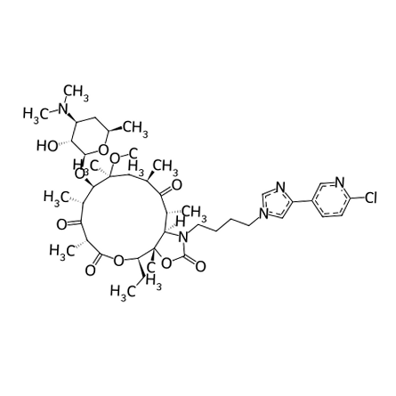 CC[C@H]1OC(=O)[C@H](C)C(=O)[C@H](C)[C@@H](O[C@@H]2O[C@H](C)C[C@H](N(C)C)[C@H]2O)[C@@](C)(OC)C[C@@H](C)C(=O)[C@H](C)[C@H]2N(CCCCn3cnc(-c4ccc(Cl)nc4)c3)C(=O)O[C@]12C